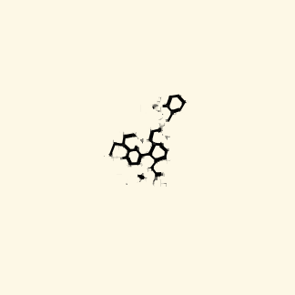 CC(=O)[C@@H](OC(C)(C)C)c1c(C)cc2nc(OCc3ccccc3S(C)(=O)=O)ccc2c1-c1ccc2c3c(ccnc13)CCO2